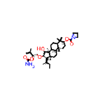 CC[C@@H](C)[C@H]1C(OC[C@H](OC(N)=O)C(C)C)[C@H](O)[C@@]2(C)C3CCC4C(C)(C)[C@@H](OC(=O)N5CCC5)CC[C@@]45C[C@@]35CC[C@]12C